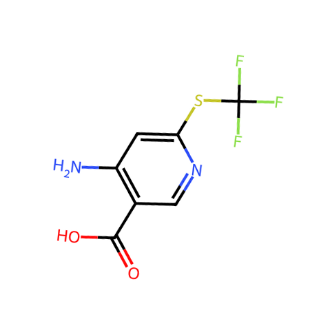 Nc1cc(SC(F)(F)F)ncc1C(=O)O